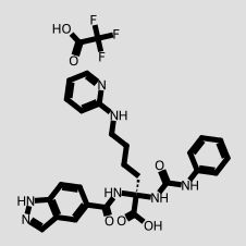 O=C(Nc1ccccc1)N[C@](CCCCNc1ccccn1)(NC(=O)c1ccc2[nH]ncc2c1)C(=O)O.O=C(O)C(F)(F)F